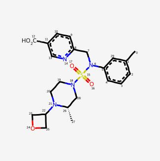 Cc1cccc(N(Cc2ccc(C(=O)O)cn2)S(=O)(=O)N2CCN(C3COC3)[C@@H](C)C2)c1